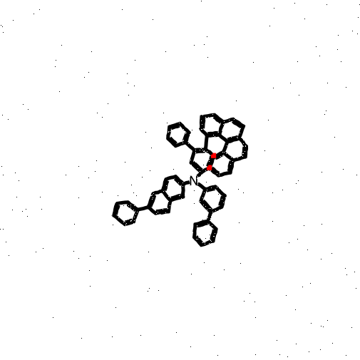 c1ccc(-c2cccc(N(c3ccc(-c4cccc5ccc6ccc7ccccc7c6c45)c(-c4ccccc4)c3)c3ccc4cc(-c5ccccc5)ccc4c3)c2)cc1